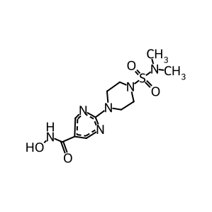 CN(C)S(=O)(=O)N1CCN(c2ncc(C(=O)NO)cn2)CC1